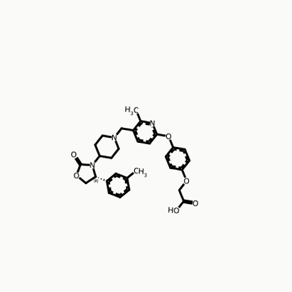 Cc1cccc([C@@H]2COC(=O)N2C2CCN(Cc3ccc(Oc4ccc(OCC(=O)O)cc4)nc3C)CC2)c1